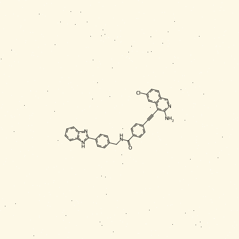 Nc1ncc2ccc(Cl)cc2c1C#Cc1ccc(C(=O)NCc2ccc(-c3nc4ccccc4[nH]3)cc2)cc1